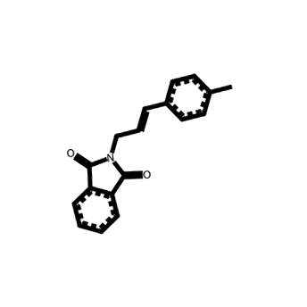 Cc1ccc(/C=C/CN2C(=O)c3ccccc3C2=O)cc1